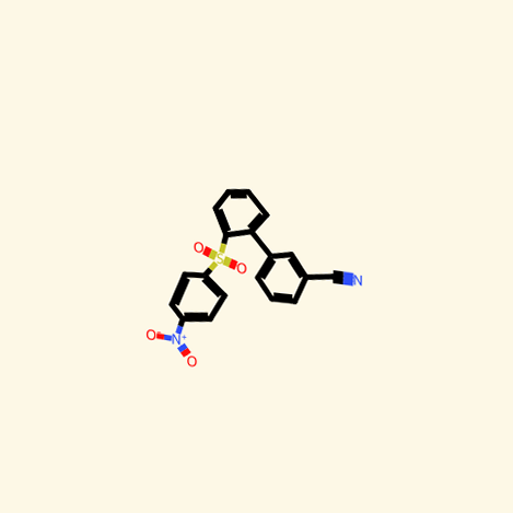 N#Cc1cccc(-c2ccccc2S(=O)(=O)c2ccc([N+](=O)[O-])cc2)c1